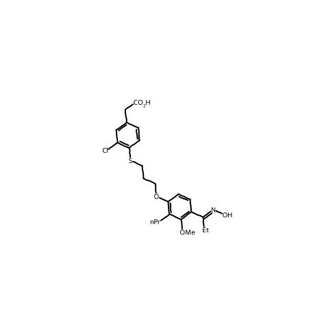 CCCc1c(OCCCSc2ccc(CC(=O)O)cc2Cl)ccc(C(CC)=NO)c1OC